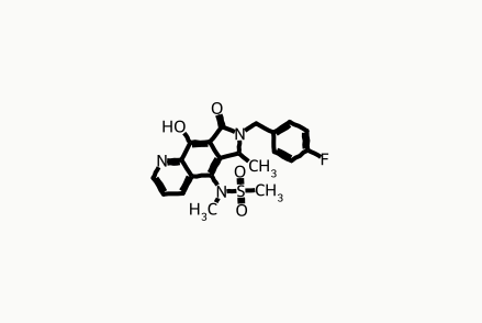 CC1c2c(c(O)c3ncccc3c2N(C)S(C)(=O)=O)C(=O)N1Cc1ccc(F)cc1